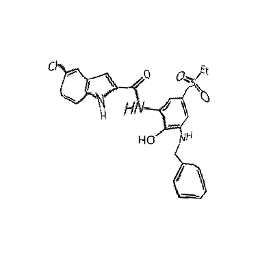 CCS(=O)(=O)c1cc(NCc2ccccc2)c(O)c(NC(=O)c2cc3cc(Cl)ccc3[nH]2)c1